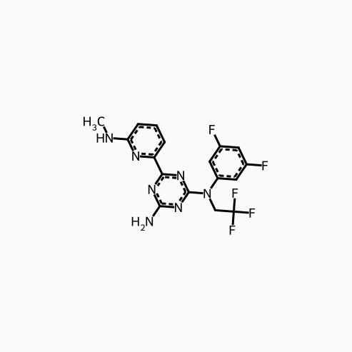 CNc1cccc(-c2nc(N)nc(N(CC(F)(F)F)c3cc(F)cc(F)c3)n2)n1